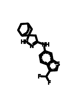 FC(F)c1csc2cc(NC3=NNC4(C3)CC3CCC4CC3)ccc12